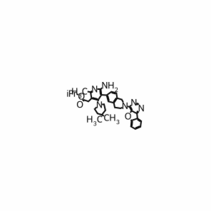 Cc1nc(N)c(-c2ccc3c(c2)CCN(c2ncnc4c2oc2ccccc24)C3)c(N2CCC(C)(C)CC2)c1CC(=O)OC(C)C